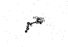 CC(=O)N[C@@H](CO)C(OCCCCCC(=O)N1CCC[C@H]1COC1CCC(C2CCC2)C1)OC(CO)[C@@H](C)O